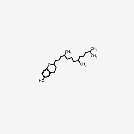 CC(C)CCCC(C)CCCC(C)CCCC1CCc2cc(O)ccc2O1